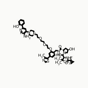 Cc1ncsc1-c1ccc(CNC(=O)[C@@H]2C[C@@H](O)CN2C(O)[C@@H](NC(=O)C2(F)CC2)C(C)(C)C)c(OCCOCCOCCN2CCN(c3cc(-c4ccccc4O)nnc3N)CC2)c1